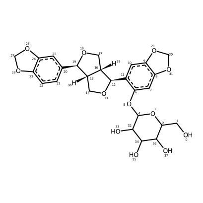 OCC1OC(Oc2cc3c(cc2[C@H]2OC[C@H]4[C@@H]2CO[C@@H]4c2ccc4c(c2)OCO4)OCO3)C(O)C(O)C1O